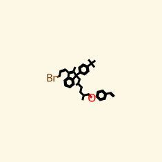 C=Cc1ccc(OCC(C)CCC(C)CC2(c3ccc(C(C)(C)C)cc3)C(C)=C(/C=C\CBr)c3ccccc32)cc1